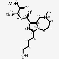 CNC(=O)[C@@H](NC(=O)c1nc(CCCCO)n2c1CN(C)CCC2)C(C)(C)C